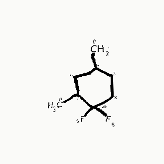 [CH2]C1CCC(F)(F)C(C)C1